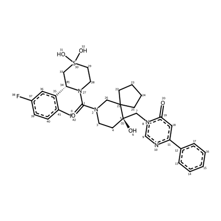 O=C(N1CC[C@@](O)(Cn2cnc(-c3ccccc3)cc2=O)C2(CCCC2)C1)N1CCS(O)(O)C[C@H]1c1cc(F)ccc1F